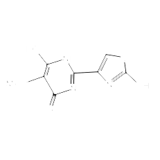 COc1c(C)[nH]c(-c2csc(C)n2)nc1=O